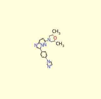 C[C@@H]1CN(c2ccc3ncc(-c4ccc(-n5ccnc5)cc4)n3n2)C[C@H](C)O1